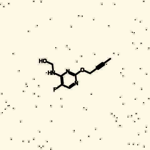 CC#CCOc1ncc(F)c(NCO)n1